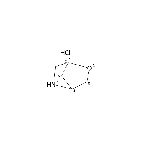 C1OC2CNC1C2.Cl